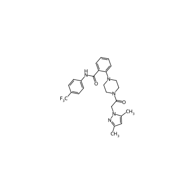 Cc1cc(C)n(CC(=O)N2CCN(c3ccccc3C(=O)Nc3ccc(C(F)(F)F)cc3)CC2)n1